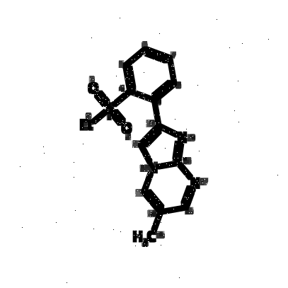 CCS(=O)(=O)c1ccccc1-c1cn2cc(C)cnc2n1